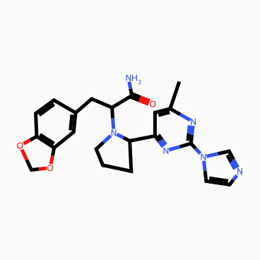 Cc1cc(C2CCCN2C(Cc2ccc3c(c2)OCO3)C(N)=O)nc(-n2ccnc2)n1